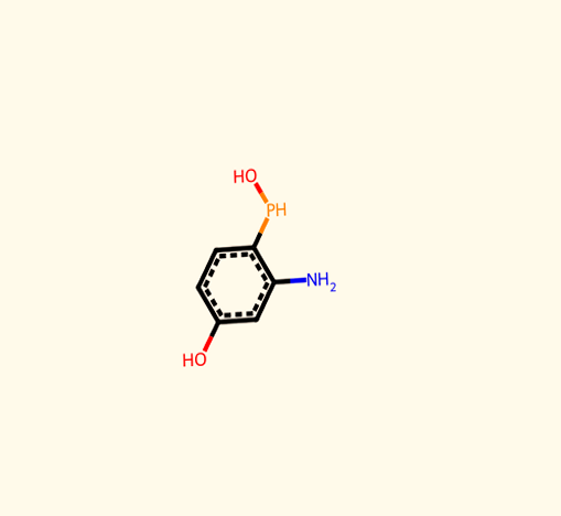 Nc1cc(O)ccc1PO